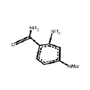 CNc1ccc(C(N)=O)c(N)c1